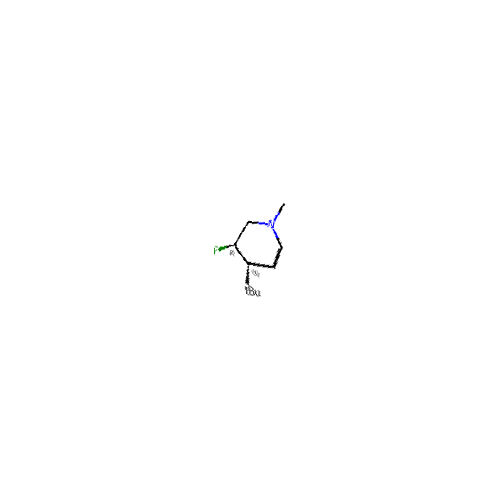 CN1CC[C@@H](C(C)(C)C)[C@@H](F)C1